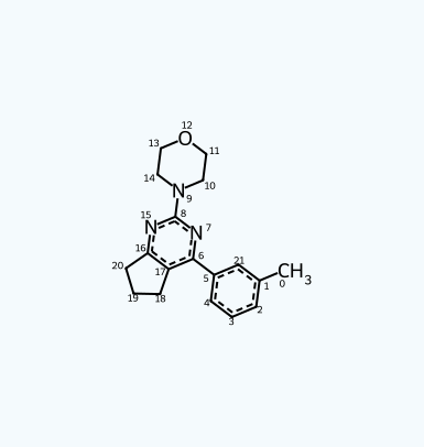 Cc1cccc(-c2nc(N3CCOCC3)nc3c2CCC3)c1